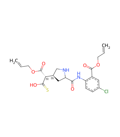 C=CCOC(=O)c1cc(Cl)ccc1NC(=O)C1C[C@@H]([C@@H](C(=O)OCC=C)C(O)=S)CN1